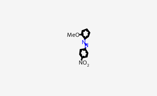 COc1ccccc1N=Nc1ccc([N+](=O)[O-])cc1